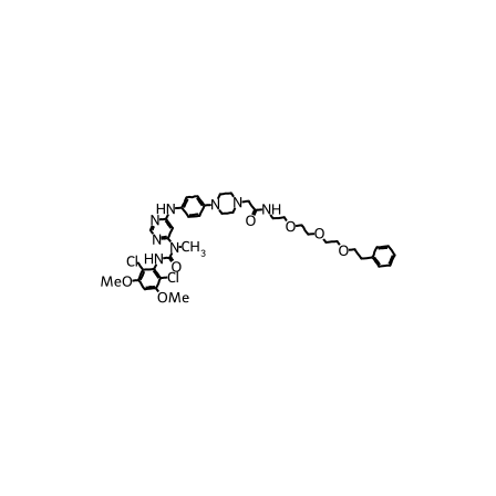 COc1cc(OC)c(Cl)c(NC(=O)N(C)c2cc(Nc3ccc(N4CCN(CC(=O)NCCOCCOCCOCCc5ccccc5)CC4)cc3)ncn2)c1Cl